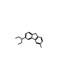 CCN(CC)c1ccc2c(c1)-c1cc(C)ccc1C2